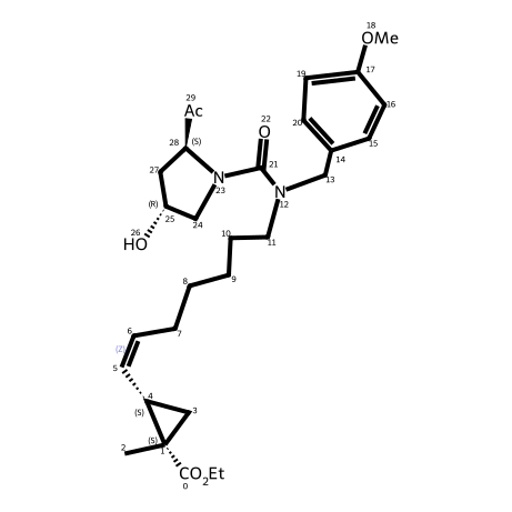 CCOC(=O)[C@@]1(C)C[C@H]1/C=C\CCCCCN(Cc1ccc(OC)cc1)C(=O)N1C[C@H](O)C[C@H]1C(C)=O